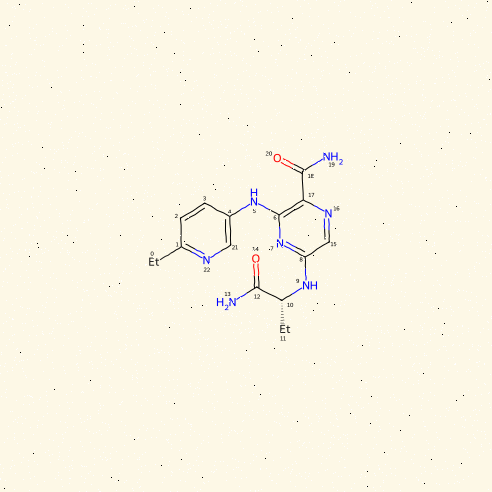 CCc1ccc(Nc2nc(N[C@H](CC)C(N)=O)cnc2C(N)=O)cn1